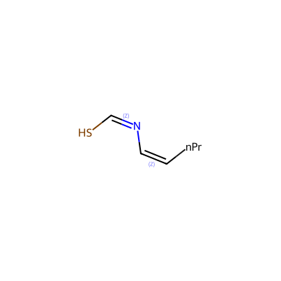 CCC/C=C\N=C/S